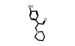 O=CC(CN1CCCCC1)c1ccc(O)cc1